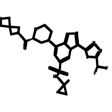 CC1(NS(=O)(=O)c2cc(N3CCO[C@@H](C(=O)N4CC5(COC5)C4)C3)c3cnc(-c4nnc(C(F)F)s4)n3c2)CC1